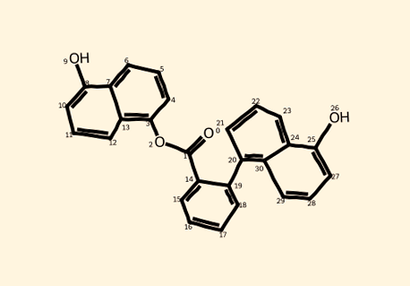 O=C(Oc1cccc2c(O)cccc12)c1ccccc1-c1cccc2c(O)cccc12